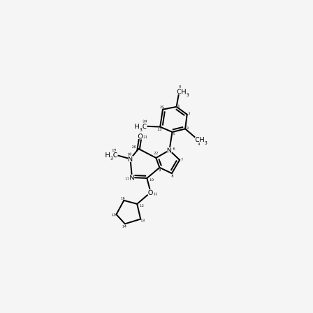 Cc1cc(C)c(-n2ccc3c(OC4CCCC4)nn(C)c(=O)c32)c(C)c1